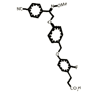 CO/N=C(\COc1ccc(COc2ccc(CCC(=O)O)c(F)c2)cc1)c1ccc(C#N)cc1